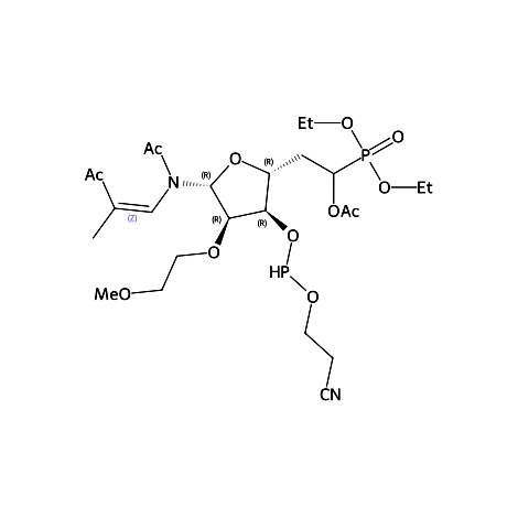 CCOP(=O)(OCC)C(C[C@H]1O[C@@H](N(/C=C(/C)C(C)=O)C(C)=O)[C@H](OCCOC)[C@@H]1OPOCCC#N)OC(C)=O